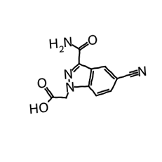 N#Cc1ccc2c(c1)c(C(N)=O)nn2CC(=O)O